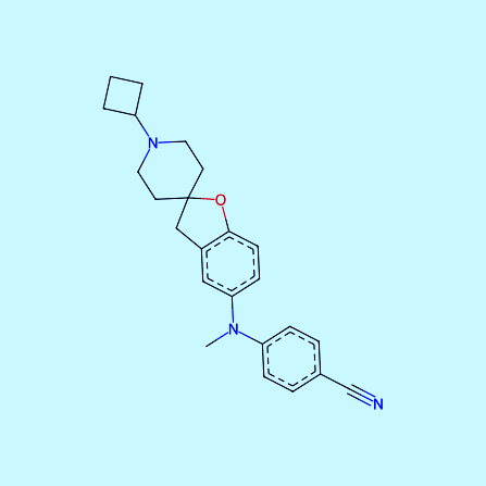 CN(c1ccc(C#N)cc1)c1ccc2c(c1)CC1(CCN(C3CCC3)CC1)O2